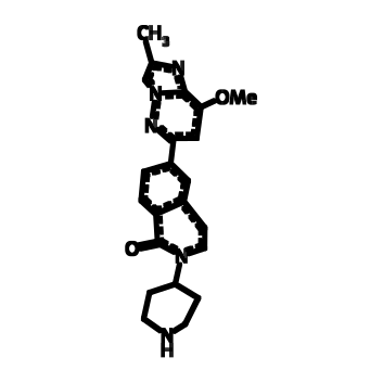 COc1cc(-c2ccc3c(=O)n(C4CCNCC4)ccc3c2)nn2cc(C)nc12